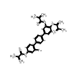 C=C(C)C(=C)Oc1ccc(-c2ccc(-c3ccc(OC(=O)C(=C)C)cc3F)cc2)cc1OC(=O)C(=C)C